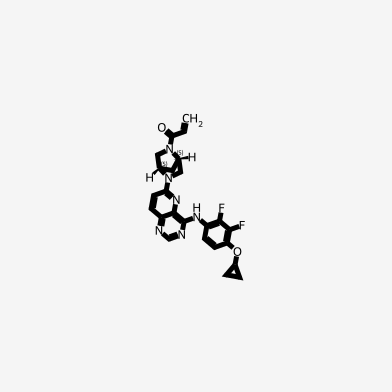 C=CC(=O)N1C[C@@H]2C[C@H]1CN2c1ccc2ncnc(Nc3ccc(OC4CC4)c(F)c3F)c2n1